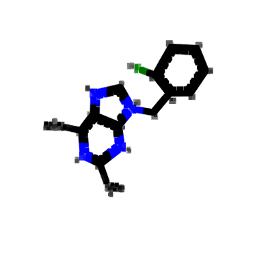 CNc1nc(SC)nc2c1ncn2Cc1ccccc1F